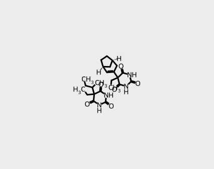 CCC(C)C1(CC)C(=O)NC(=O)NC1=O.CCC1(C2=C[C@H]3CC[C@@H](C2)C3)C(=O)NC(=O)NC1=O